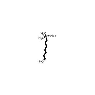 CCCCCC[N+](C)(C)CCCCCCCO